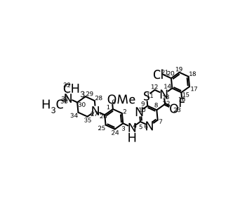 COc1cc(Nc2ncc3c(n2)SCN(c2c(F)cccc2Cl)C3=O)ccc1N1CCC(N(C)C)CC1